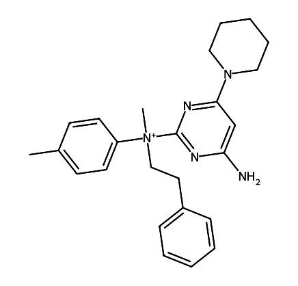 Cc1ccc([N+](C)(CCc2ccccc2)c2nc(N)cc(N3CCCCC3)n2)cc1